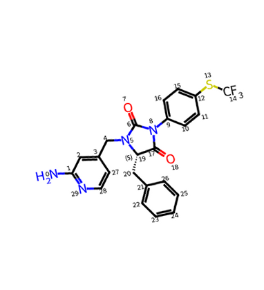 Nc1cc(CN2C(=O)N(c3ccc(SC(F)(F)F)cc3)C(=O)[C@@H]2Cc2ccccc2)ccn1